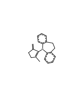 C=C1CCC(C)=C1N1c2ccccc2CCc2ccccc21